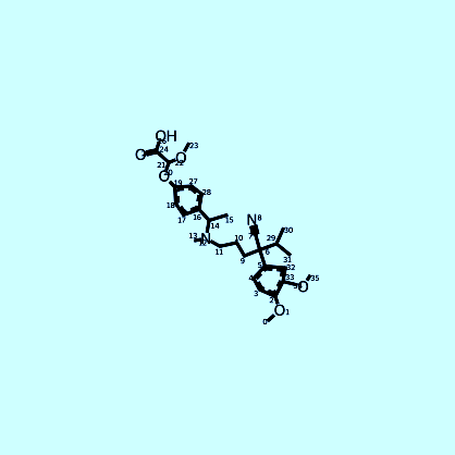 COc1ccc(C(C#N)(CCCN(C)C(C)c2ccc(OC(OC)C(=O)O)cc2)C(C)C)cc1OC